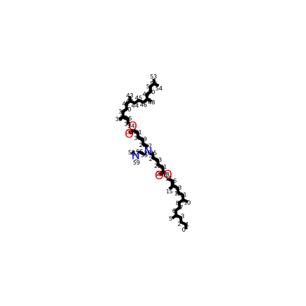 CCCCC(C)CCCC(C)CCC/C(C)=C/COC(=O)CCCCCN(CCCCCC(=O)OC/C=C(\C)CCCC(C)CCCC(C)CCCC(C)C)CCN(C)C